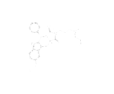 C=C1N(CCCN(CC)CCO)C(=O)[C@]2(C)Cc3c([nH]c4ccc(OCC)cc34)[C@@H](c3ccccc3)N12